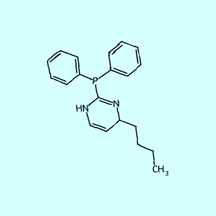 CCCCC1C=CNC(P(c2ccccc2)c2ccccc2)=N1